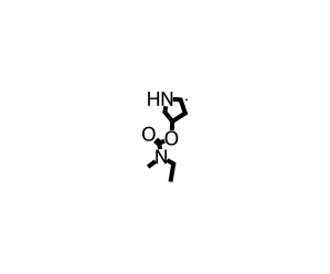 CCN(C)C(=O)OC1C[CH]NC1